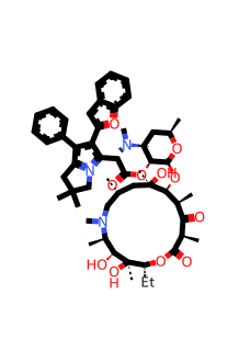 CC[C@H]1OC(=O)[C@H](C)C(=O)[C@H](C)[C@@H](O[C@@H]2O[C@H](C)C[C@H](N(C)C)[C@H]2OC(=O)Cc2c(-c3cc4ccccc4o3)c(-c3ccccc3)c3n2CC(C)(C)C3)[C@](C)(O)C[C@@H](C)CN(C)[C@H](C)[C@@H](O)[C@]1(C)O